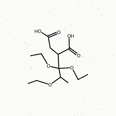 CCOC(C)C(OCC)(OCC)C(CC(=O)O)C(=O)O